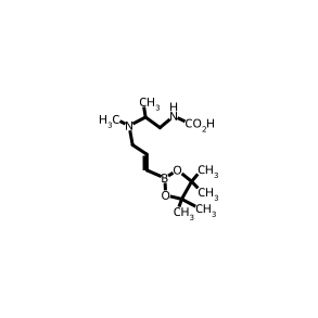 CC(CNC(=O)O)N(C)C/C=C/B1OC(C)(C)C(C)(C)O1